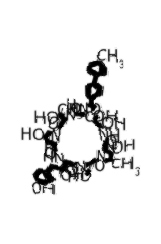 Cc1ccc(-c2ccc(C(=O)N[C@H]3CC(O)C(O)NC(=O)[C@@H]4[C@@H](O)[C@@H](C)CN4C(=O)[C@H](CO)NC(=O)[C@H]([C@H](O)Cc4ccc(O)cc4)NC(=O)[C@@H]4C[C@@H](O)CN4C(=O)[C@H]([C@@H](C)O)NC3=O)cc2)cc1